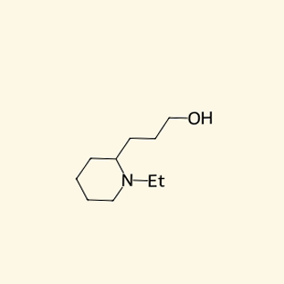 CCN1CCCCC1CCCO